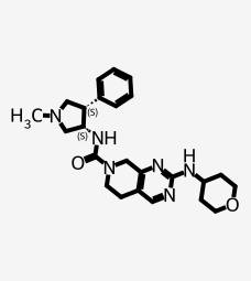 CN1C[C@H](c2ccccc2)[C@H](NC(=O)N2CCc3cnc(NC4CCOCC4)nc3C2)C1